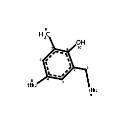 CCC(C)Cc1cc(C(C)(C)C)cc(C)c1O